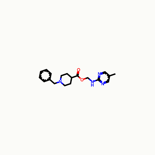 Cc1cnc(NCOC(=O)C2CCN(Cc3ccccc3)CC2)nc1